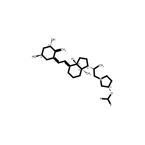 C=C1/C(=C\C=C2/CCC[C@]3(C)[C@@H](C(C)CN4CC[C@H](OC(F)F)C4)CC[C@@H]23)C[C@@H](O)C[C@@H]1O